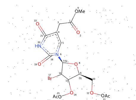 COC(=O)Cc1cn([C@H]2O[C@@H](COOC(C)=O)C(OOC(C)=O)C2Br)c(=O)[nH]c1=O